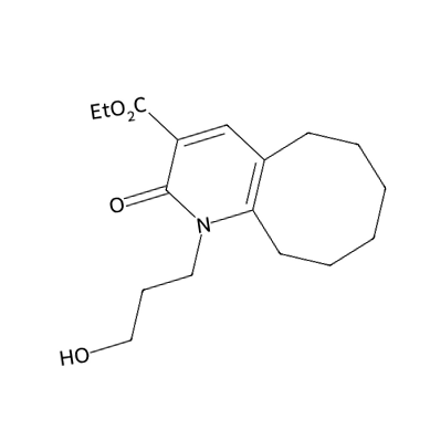 CCOC(=O)c1cc2c(n(CCCO)c1=O)CCCCCC2